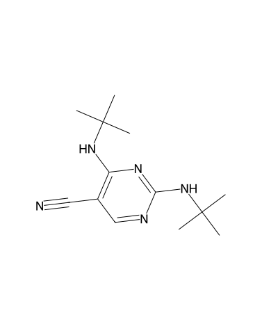 CC(C)(C)Nc1ncc(C#N)c(NC(C)(C)C)n1